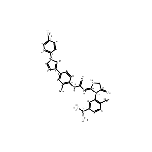 CC(=O)c1cc(-c2ncn(-c3ccc(C(F)(F)F)cn3)n2)ccc1NC(=O)/N=C1\SCC(=O)N1c1cc(N(C)C)ccc1C(C)C